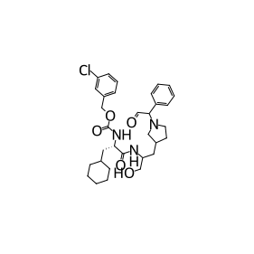 O=CC(c1ccccc1)N1CCC(CC(CO)NC(=O)[C@H](CC2CCCCC2)NC(=O)OCc2cccc(Cl)c2)C1